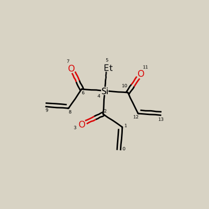 C=CC(=O)[Si](CC)(C(=O)C=C)C(=O)C=C